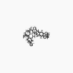 C[C@@H](C(=O)Nc1nc2cc3c(cc2s1)OC(F)(F)O3)N1CC[C@H](F)[C@H](c2cc[n+]([O-])cc2)C1